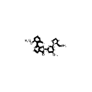 COc1cccc(F)c1-c1nccc2c1CN(c1cc(C)cc(N3CCCC3CN)n1)C2=O